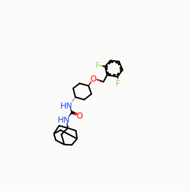 O=C(NC12CC3CC(CC(C3)C1)C2)N[C@H]1CC[C@H](OCc2c(F)cccc2F)CC1